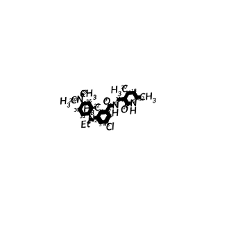 CCN(c1cc(Cl)cc(C(=O)NCC2C(=O)NC(C)CC2C)c1C)[C@H]1CC[C@H](N(C)C)CC1